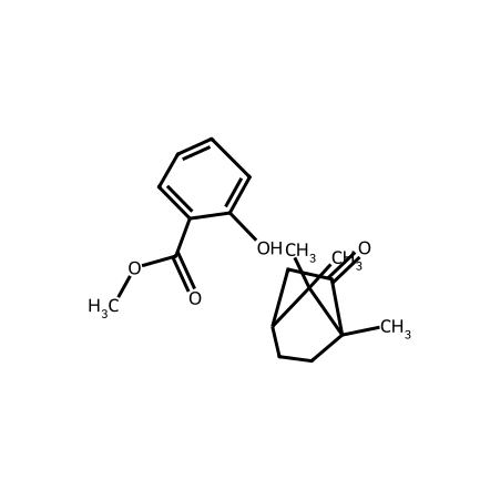 CC12CCC(CC1=O)C2(C)C.COC(=O)c1ccccc1O